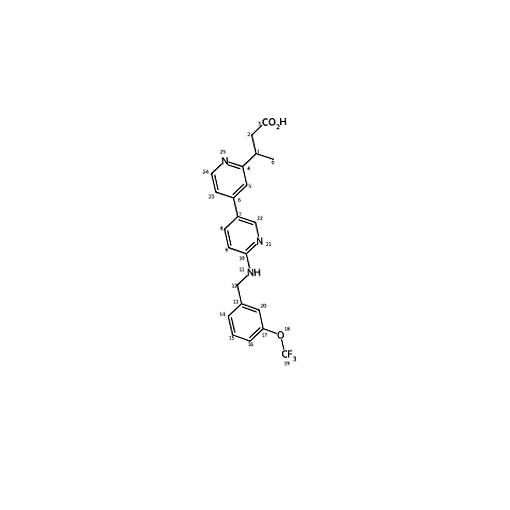 CC(CC(=O)O)c1cc(-c2ccc(NCc3cccc(OC(F)(F)F)c3)nc2)ccn1